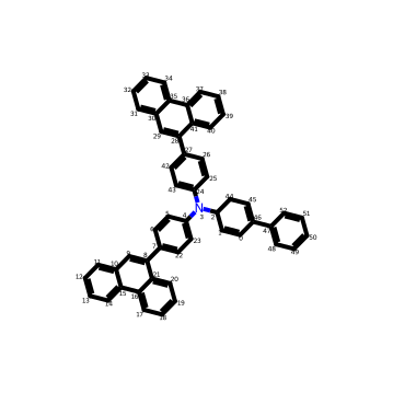 C1=CC(N(c2ccc(-c3cc4ccccc4c4ccccc34)cc2)c2ccc(-c3cc4ccccc4c4ccccc34)cc2)CC=C1c1ccccc1